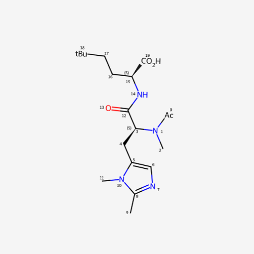 CC(=O)N(C)[C@@H](Cc1cnc(C)n1C)C(=O)N[C@@H](CCC(C)(C)C)C(=O)O